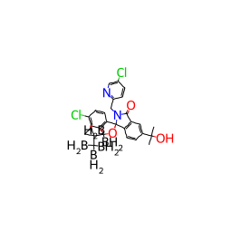 BC(B)(B)C1(C(B)(B)O[C@]2(c3ccc(Cl)cc3)c3ccc(C(C)(C)O)cc3C(=O)N2Cc2ccc(Cl)cn2)CC1